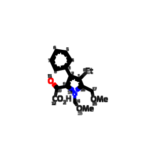 CCc1c(-c2ccccc2)c(C(=O)C(=O)O)n(COC)c1COC